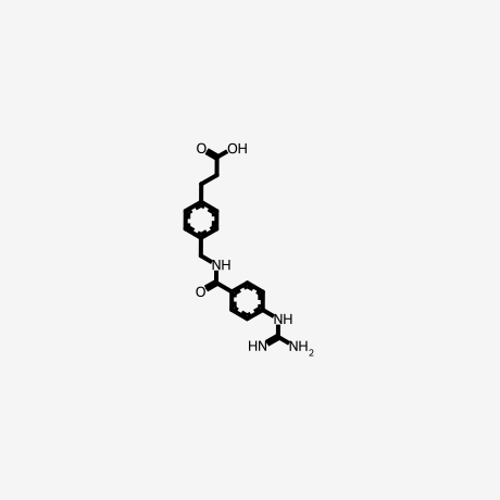 N=C(N)Nc1ccc(C(=O)NCc2ccc(CCC(=O)O)cc2)cc1